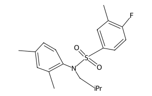 Cc1ccc(N(CC(C)C)S(=O)(=O)c2ccc(F)c(C)c2)c(C)c1